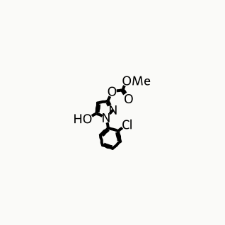 COC(=O)Oc1cc(O)n(-c2ccccc2Cl)n1